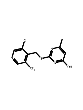 Cc1cc(O)nc(SCc2c(Cl)cncc2C(F)(F)F)n1